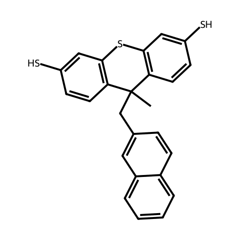 CC1(Cc2ccc3ccccc3c2)c2ccc(S)cc2Sc2cc(S)ccc21